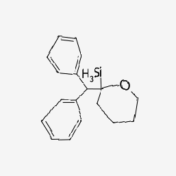 [SiH3]C1(C(c2ccccc2)c2ccccc2)CCCCO1